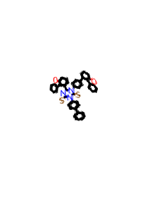 S=c1nc(-c2cccc3oc4ccccc4c23)n(-c2ccc(-c3cccc4oc5ccccc5c34)cc2)c(=S)n1-c1ccc(-c2ccccc2)cc1